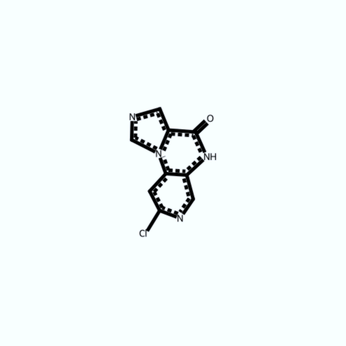 O=c1[nH]c2cnc(Cl)cc2n2cncc12